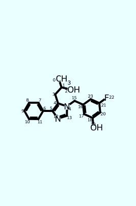 CC(O)Cc1c(-c2ccccc2)ncn1Cc1cc(O)cc(F)c1